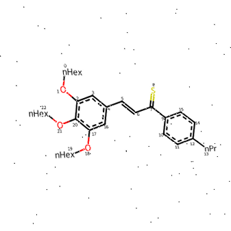 CCCCCCOc1cc(C=CC(=S)c2ccc(CCC)cc2)cc(OCCCCCC)c1OCCCCCC